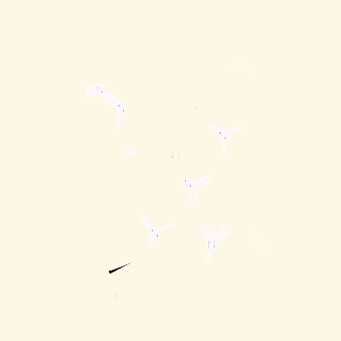 C/C(N=N)=C(/S)CN1c2nc(N3CCOC[C@H]3C)cc(=O)n2CC[C@H]1C(F)(F)F